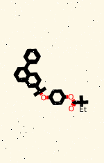 CCC(C)(C)C(=O)OC1CCC(OC(C)(C)c2ccc3c(-c4ccccc4)cccc3c2)CC1